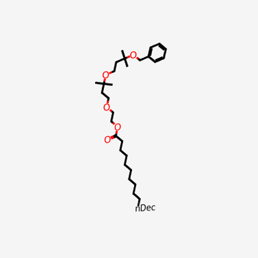 CCCCCCCCCCCCCCCCCCCC(=O)OCCOCCC(C)(C)OCCC(C)(C)OCc1ccccc1